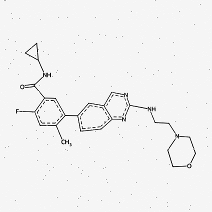 Cc1cc(F)c(C(=O)NC2CC2)cc1-c1ccc2nc(NCCN3CCOCC3)ncc2c1